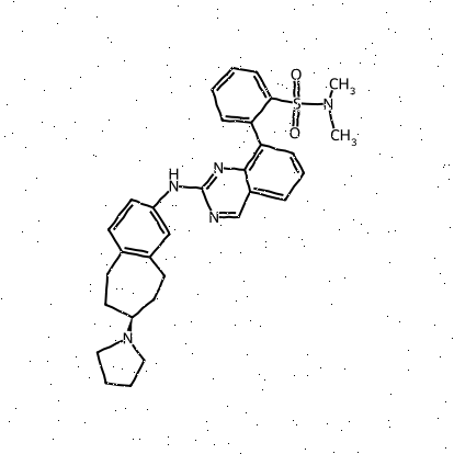 CN(C)S(=O)(=O)c1ccccc1-c1cccc2cnc(Nc3ccc4c(c3)CC[C@@H](N3CCCC3)CC4)nc12